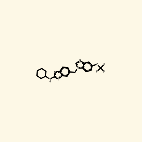 FC(F)(F)Oc1ccc2c(c1)ncn2Cc1ccc2nc(NC3CCCCC3)sc2c1